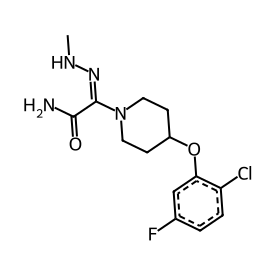 CN/N=C(\C(N)=O)N1CCC(Oc2cc(F)ccc2Cl)CC1